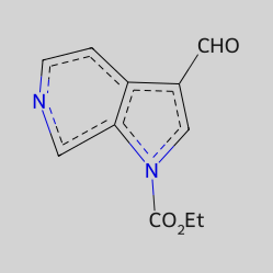 CCOC(=O)n1cc(C=O)c2ccncc21